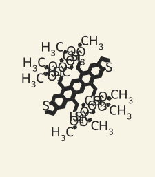 CCO[Si](CCc1c2cc3ccsc3cc2c(CC[Si](OCC)(OCC)OCC)c2cc3c(CC[Si](OCC)(OCC)OCC)c4cc5ccsc5cc4c(CC[Si](OCC)(OCC)OCC)c3cc12)(OCC)OCC